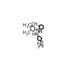 C[C@@H]1C[C@H](n2c(Nc3ccc(OC(F)(F)F)cc3)nc3ccccc32)CC(C)(C)C1